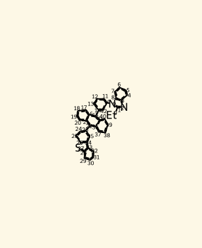 CCc1nc2ccccc2n1-c1cccc(-c2c3ccccc3c(-c3ccc4sc5ccccc5c4c3)c3ccccc23)c1